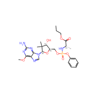 CCCOC(=O)[C@H](C)NP(=O)(OC[C@H]1O[C@@H](n2cnc3c(OC)nc(N)nc32)C(C)(C)[C@@H]1O)Oc1ccccc1